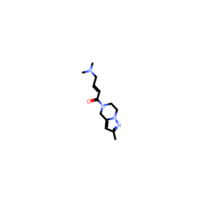 Cc1cc2n(n1)CCN(C(=O)/C=C/CN(C)C)C2